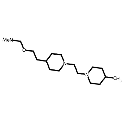 CNCOCCC1CCN(CCN2CCC(C)CC2)CC1